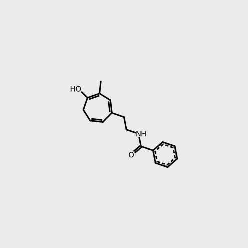 CC1=C(O)CC=CC(CCNC(=O)c2ccccc2)=C1